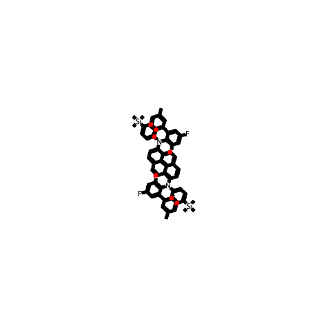 Cc1ccc(C)c(-c2cc(F)cc(F)c2N(c2ccc([Si](C)(C)C)cc2)c2ccc3ccc4c(N(c5ccc([Si](C)(C)C)cc5)c5c(F)cc(F)cc5-c5cc(C)ccc5C)ccc5ccc2c3c54)c1